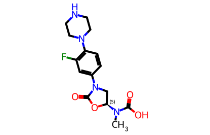 CN(C(=O)O)[C@@H]1CN(c2ccc(N3CCNCC3)c(F)c2)C(=O)O1